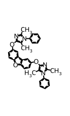 Cc1nc(Oc2ccc3oc4ccc(Oc5nc(C)n(-c6ccccc6)c5C)cc4c3c2)c(C)n1-c1ccccc1